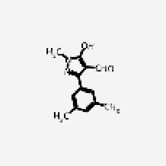 Cc1cc(C)cc(-c2nn(C)c(O)c2C=O)c1